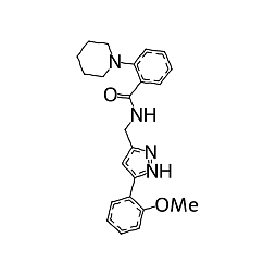 COc1ccccc1-c1cc(CNC(=O)c2ccccc2N2CCCCC2)n[nH]1